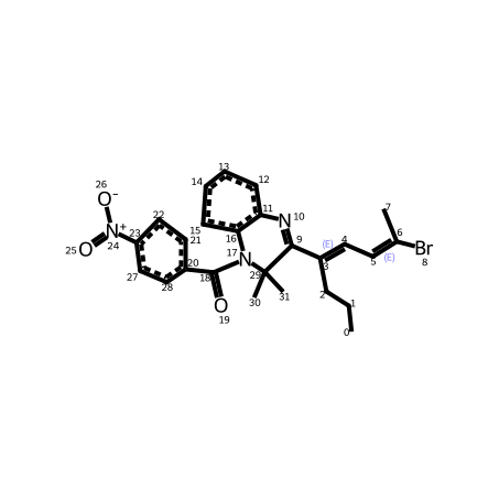 CCC/C(=C\C=C(/C)Br)C1=Nc2ccccc2N(C(=O)c2ccc([N+](=O)[O-])cc2)C1(C)C